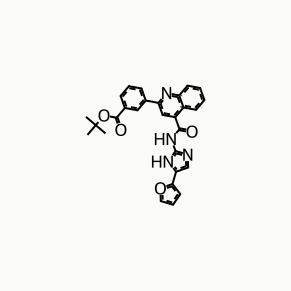 CC(C)(C)OC(=O)c1cccc(-c2cc(C(=O)Nc3ncc(-c4ccco4)[nH]3)c3ccccc3n2)c1